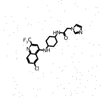 O=C(Cn1ccnc1)NC1CCC(Nc2cc(C(F)(F)F)nc3ccc(Cl)cc23)CC1